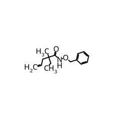 C=CCC(C)(CC)C(=O)NOCc1ccccc1